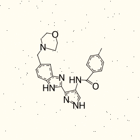 Cc1ccc(C(=O)Nc2c[nH]nc2-c2nc3cc(CN4CCOCC4)ccc3[nH]2)cc1